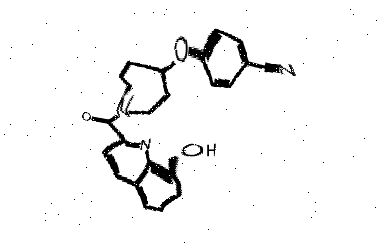 N#Cc1ccc(OC2CCN(C(=O)c3ccc4cccc(O)c4n3)CC2)cc1